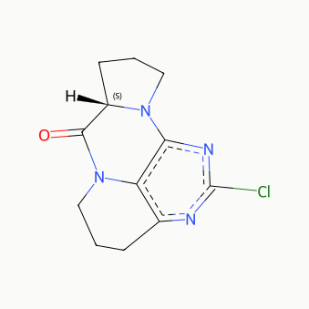 O=C1[C@@H]2CCCN2c2nc(Cl)nc3c2N1CCC3